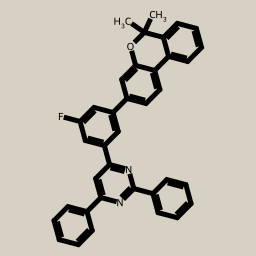 CC1(C)Oc2cc(-c3cc(F)cc(-c4cc(-c5ccccc5)nc(-c5ccccc5)n4)c3)ccc2-c2ccccc21